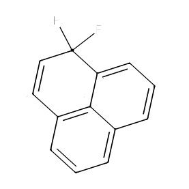 FC1(F)C=Cc2cccc3cccc1c23